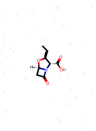 C/C=C1\O[C@@H]2CC(=O)N2[C@H]1C(=O)O